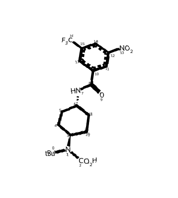 CC(C)(C)N(C(=O)O)[C@H]1CC[C@H](NC(=O)c2cc([N+](=O)[O-])cc(C(F)(F)F)c2)CC1